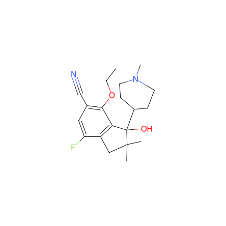 CCOc1c(C#N)cc(F)c2c1C(O)(C1CCN(C)CC1)C(C)(C)C2